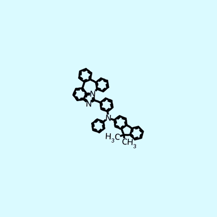 CC1(C)c2ccccc2-c2ccc(N(c3ccccc3)c3cccc(-c4nc5cccc6c5n4-c4ccccc4-c4ccccc4-6)c3)cc21